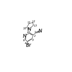 N#Cc1cc(Br)cnc1N1CCCC1